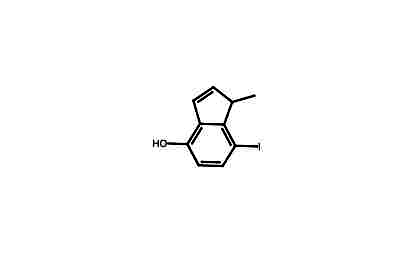 CC1C=Cc2c(O)ccc(I)c21